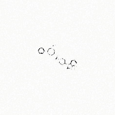 O=C(N[C@@H]1CC[C@@H](c2ccccc2)CN(CC(F)(F)F)C1)N1CCC(n2c(=O)[nH]c3ncccc32)CC1